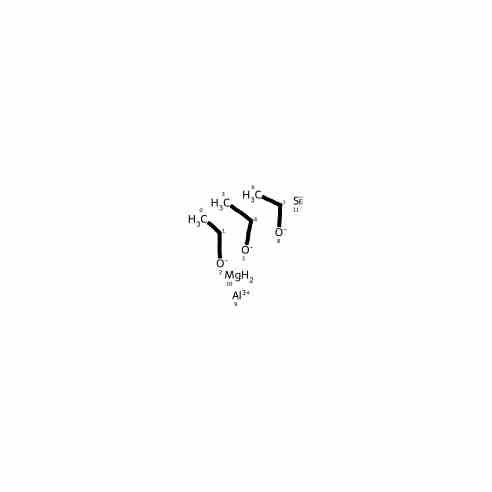 CC[O-].CC[O-].CC[O-].[Al+3].[MgH2].[Si]